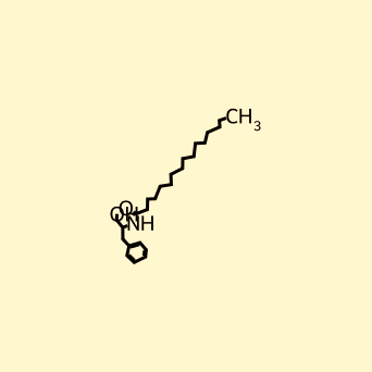 CCCCCCCCCCCCCCCC(=O)NC(CO)Cc1ccccc1